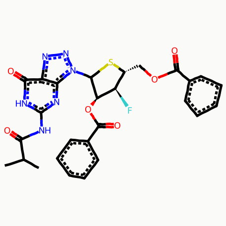 CC(C)C(=O)Nc1nc2c(nnn2C2S[C@H](COC(=O)c3ccccc3)[C@@H](F)[C@H]2OC(=O)c2ccccc2)c(=O)[nH]1